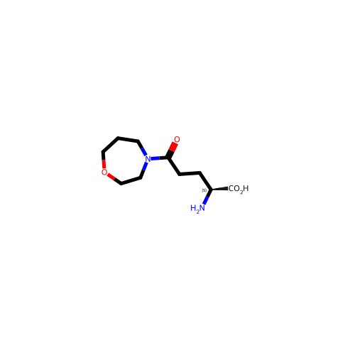 N[C@@H](CCC(=O)N1CCCOCC1)C(=O)O